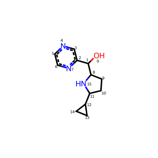 OC(c1cnccn1)C1CCC(C2CC2)N1